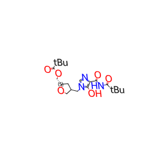 CC(C)(C)C(=O)NC(=O)c1ncn(CC2CO[C@H](COC(=O)C(C)(C)C)C2)c1O